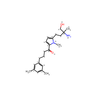 Cc1cc(C)cc(CCCC(=O)c2ccc(CCC(C)(N)CO)n2C)c1